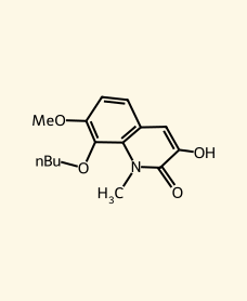 CCCCOc1c(OC)ccc2cc(O)c(=O)n(C)c12